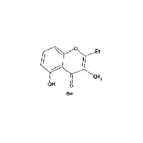 CCc1oc2cccc(O)c2c(=O)c1C.[Be]